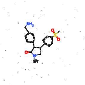 CCCN1CC(c2ccc(S(C)(=O)=O)cc2)C(c2ccc(CN)cc2)C1=O